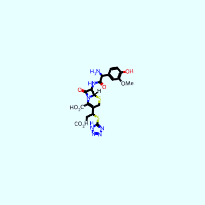 COc1cc(C(N)C(=O)NC2C(=O)N3C(C(=O)O)=C(C(CC(=O)O)Sc4nnn[nH]4)CS[C@@H]23)ccc1O